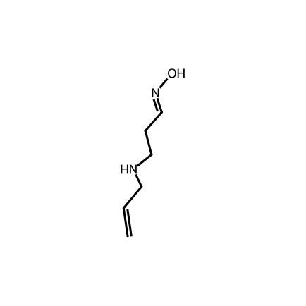 C=CCNCCC=NO